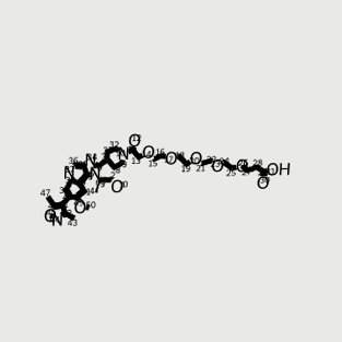 COC[C@@H](C)n1c(C2CCN(C(=O)COCCOCCOCCOCCOCCC(=O)O)CC2)nc2cnc3cc(-c4c(C)noc4C)c(OC)cc3c21